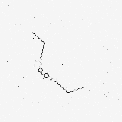 CCCCCCCC/C=C\CCCCCCCCNC(=O)Nc1ccc(Cc2ccc(NC(=O)NCCCCCCCC/C=C\CCCCCCCC)cc2)cc1